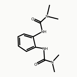 CN(C)C(=O)Nc1ccccc1NC(=O)N(C)C